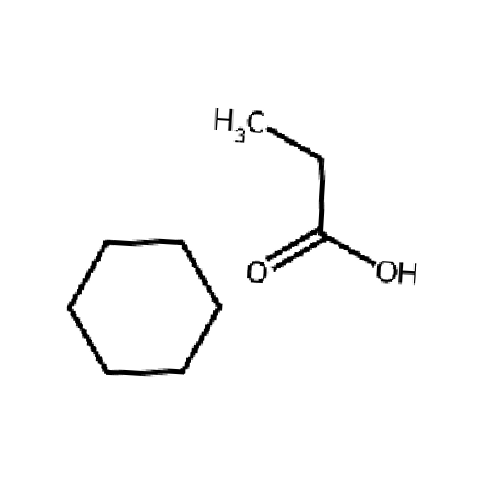 C1CCCCC1.CCC(=O)O